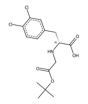 CC(C)(C)OC(=O)CN[C@H](Cc1ccc(Cl)c(Cl)c1)C(=O)O